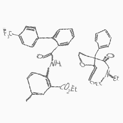 CCN(CC)C(=O)C1(c2ccccc2)COC1=O.CCOC(=O)c1cc(C)ccc1NC(=O)c1ccccc1-c1ccc(C(F)(F)F)cc1